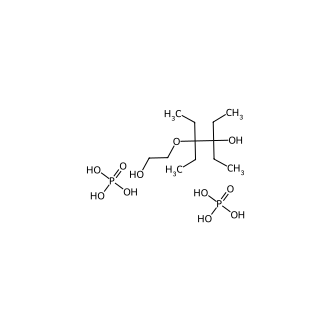 CCC(O)(CC)C(CC)(CC)OCCO.O=P(O)(O)O.O=P(O)(O)O